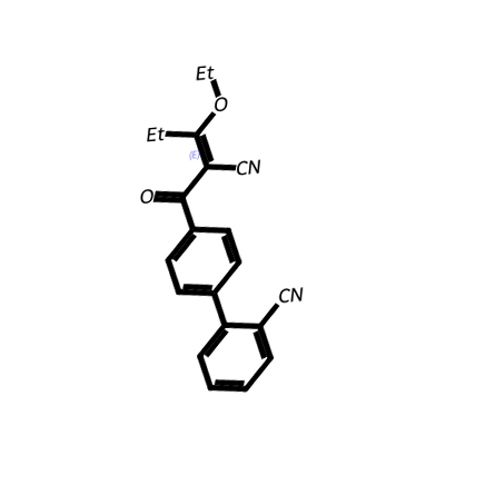 CCO/C(CC)=C(\C#N)C(=O)c1ccc(-c2ccccc2C#N)cc1